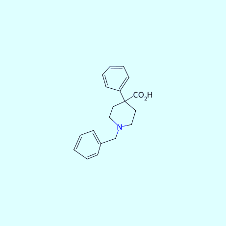 O=C(O)C1(c2ccccc2)CCN(Cc2ccccc2)CC1